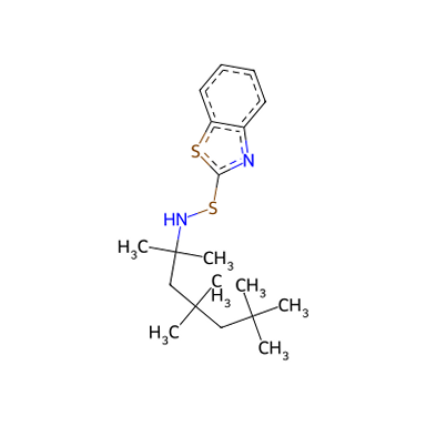 CC(C)(C)CC(C)(C)CC(C)(C)NSc1nc2ccccc2s1